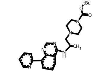 CC(CN1CCN(C(=O)OC(C)(C)C)CC1)Nc1ncnc2c(-c3ccccn3)cccc12